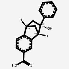 O=C(O)c1ccc2c(c1)[C@@H]1C[C@H]2C[C@@]1(O)c1ccccc1